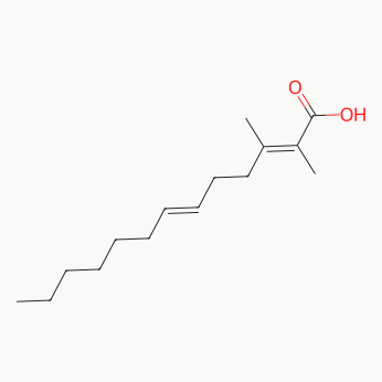 CCCCCC/C=C/CC/C(C)=C(\C)C(=O)O